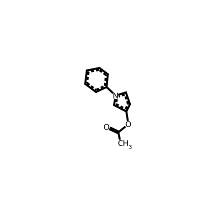 CC(=O)Oc1ccn(-c2ccccc2)c1